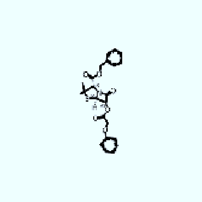 CC1(C)S[C@@H]2[C@H](OC(=O)COc3ccccc3)C(=O)N2[C@H]1C(=O)OCc1ccccc1